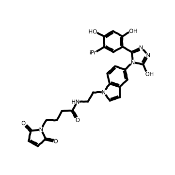 CC(C)c1cc(-c2nnc(O)n2-c2ccc3c(ccn3CCNC(=O)CCCN3C(=O)C=CC3=O)c2)c(O)cc1O